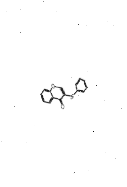 O=c1c(Sc2ccccc2)coc2ccccc12